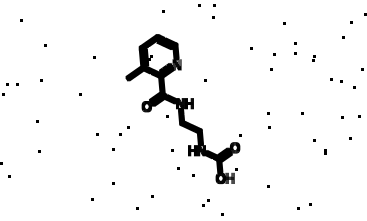 Cc1cccnc1C(=O)NCCNC(=O)O